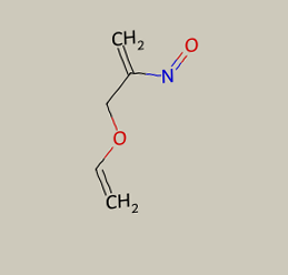 C=COCC(=C)N=O